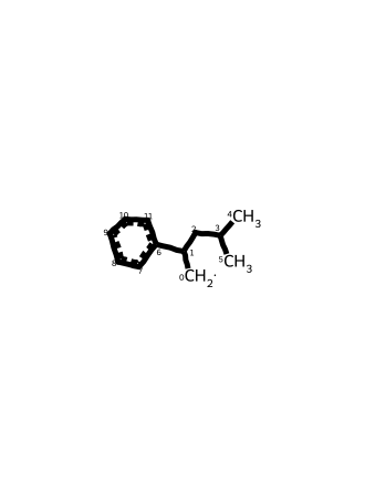 [CH2]C(CC(C)C)c1ccccc1